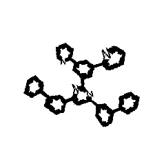 c1ccc(-c2cccc(-c3cc(-c4cccc(-c5ccccc5)c4)nc(-c4cc(-c5ccccn5)cc(-c5ccccn5)c4)n3)c2)cc1